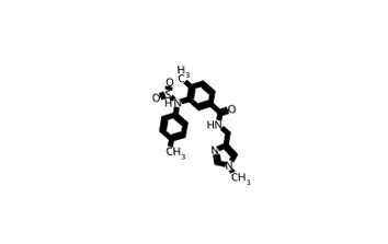 Cc1ccc(N(c2cc(C(=O)NCc3cn(C)cn3)ccc2C)[SH](=O)=O)cc1